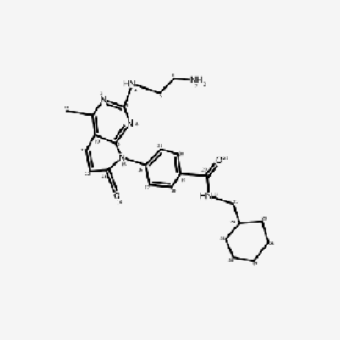 Cc1nc(NCCN)nc2c1ccc(=O)n2-c1ccc(C(=O)NCC2CCCCC2)cc1